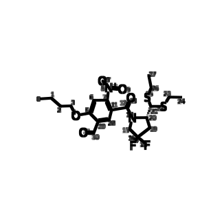 CCCCOc1cc([N+](=O)[O-])c(C(=O)N2CC(F)(F)C[C@H]2C(SCC)SCC)cc1C=O